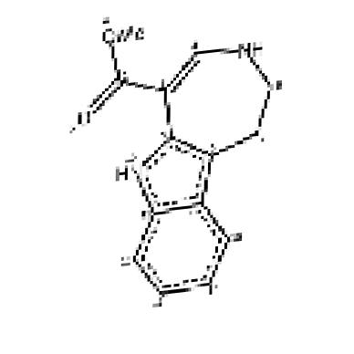 COC(=O)C1=CNCCc2c1[nH]c1ccccc21